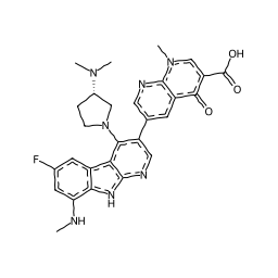 CNc1cc(F)cc2c1[nH]c1ncc(-c3cnc4c(c3)c(=O)c(C(=O)O)cn4C)c(N3CC[C@H](N(C)C)C3)c12